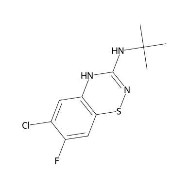 CC(C)(C)NC1=NSc2cc(F)c(Cl)cc2N1